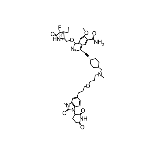 CC[C@@H]1[C@H](F)C(=O)N[C@@H]1COc1ncc(C#C[C@H]2CC[C@H](CN(C)CCCOCCCc3ccc4c(c3)n(C)c(=O)n4C3CCC(=O)NC3=O)CC2)c2cc(C(N)=O)c(OC)cc12